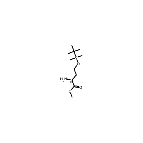 COC(=O)[C@@H](N)CCO[Si](C)(C)C(C)(C)C